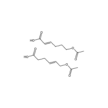 CC(=O)OCC=CCCC(=O)O.CC(=O)OCCCC=CC(=O)O